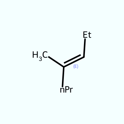 [CH2]C/C=C(\C)CCC